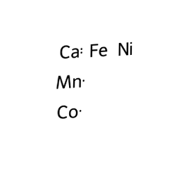 [Ca].[Co].[Fe].[Mn].[Ni]